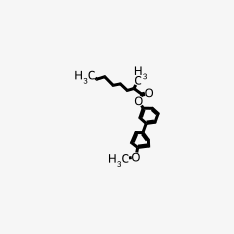 CCCCCCC(C)C(=O)Oc1cccc(-c2ccc(OC)cc2)c1